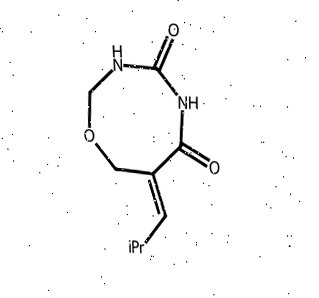 CC(C)/C=C1\COCNC(=O)NC1=O